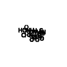 COc1nc(-c2cccc(-c3cccc(NC(=O)c4ccnn(C)c4=O)c3Cl)c2Cl)cc(Cl)c1CNC1CCCCC1O